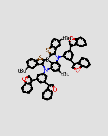 CC(C)(C)c1cc2c3c(c1)N(c1cc(-c4coc5ccccc45)cc(-c4coc5ccccc45)c1)c1c(sc4ccc(C(C)(C)C)cc14)B3c1sc3ccc(C(C)(C)C)cc3c1N2c1cc(-c2coc3ccccc23)cc(-c2coc3ccccc23)c1